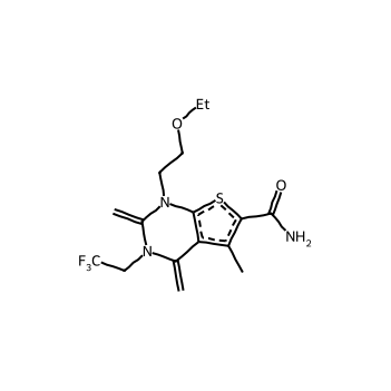 C=C1c2c(sc(C(N)=O)c2C)N(CCOCC)C(=C)N1CC(F)(F)F